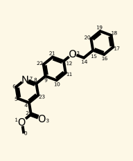 COC(=O)c1ccnc(-c2ccc(OCc3ccccc3)cc2)c1